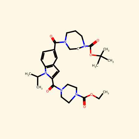 CCOC(=O)N1CCN(C(=O)c2cc3cc(C(=O)N4CCCN(C(=O)OC(C)(C)C)CC4)ccc3n2C(C)C)CC1